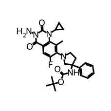 Cc1c(N2CCC(NC(=O)OC(C)(C)C)(c3ccccc3)C2)c(F)cc2c(=O)n(N)c(=O)n(C3CC3)c12